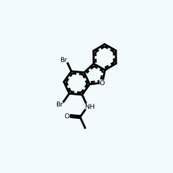 CC(=O)Nc1c(Br)cc(Br)c2c1oc1ccccc12